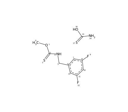 COC(=S)NCc1cc(F)cc(F)c1.NC(O)=S